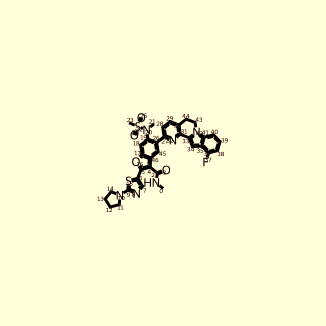 CNC(=O)c1c(-c2cnc(N3CCCC3)s2)oc2cc(N(C)S(C)(=O)=O)c(-c3ccc4c(n3)-c3cc5c(F)cccc5n3CC4)cc12